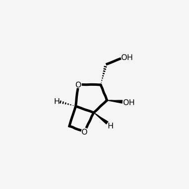 OC[C@H]1O[C@@H]2CO[C@H]2[C@@H]1O